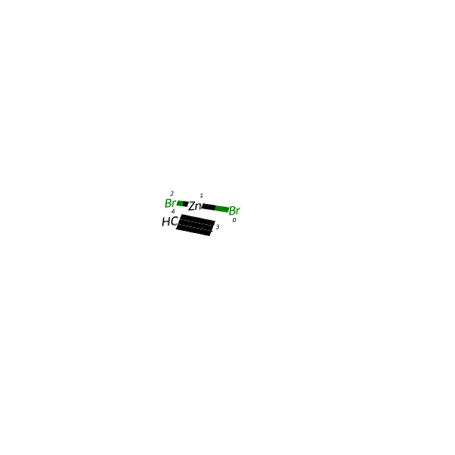 [Br][Zn][Br].[C]#C